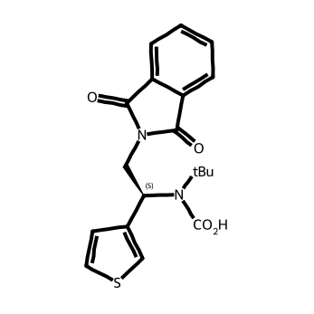 CC(C)(C)N(C(=O)O)[C@H](CN1C(=O)c2ccccc2C1=O)c1ccsc1